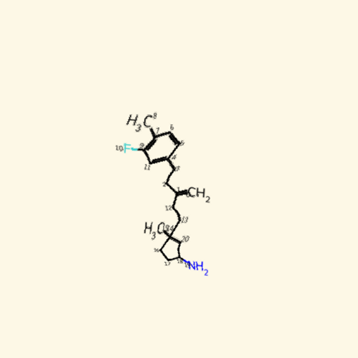 C=C(CCc1ccc(C)c(F)c1)CCC1(C)CCC(N)C1